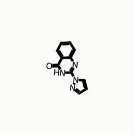 O=c1[nH]c(-n2cccn2)nc2ccccc12